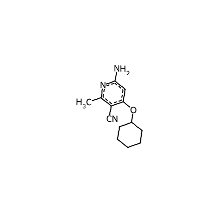 Cc1nc(N)cc(OC2CCCCC2)c1C#N